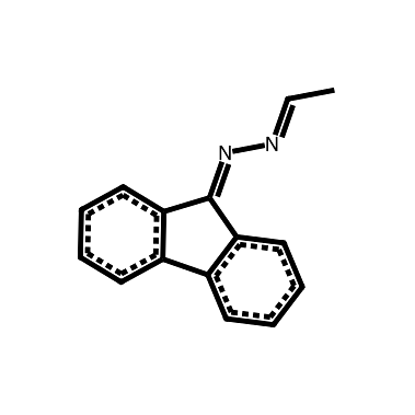 CC=NN=C1c2ccccc2-c2ccccc21